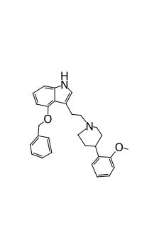 COc1ccccc1C1CCN(CCc2c[nH]c3cccc(OCc4ccccc4)c23)CC1